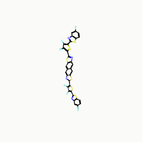 Fc1ccc2sc(-c3sc(-c4nc5cc6cc7sc(-c8sc(-c9nc%10cc(F)ccc%10s9)c(F)c8F)nc7cc6cc5s4)c(F)c3F)nc2c1